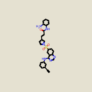 C#Cc1cccc(Nc2ncnc3ccc(S(=O)(=O)n4ccc(C=CC(=O)Nc5ccccc5N)c4)cc23)c1